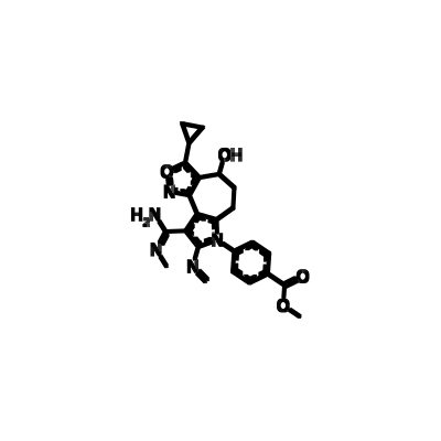 C=Nc1c(/C(N)=N\C)c2c(n1-c1ccc(C(=O)OC)cc1)CCC(O)c1c-2noc1C1CC1